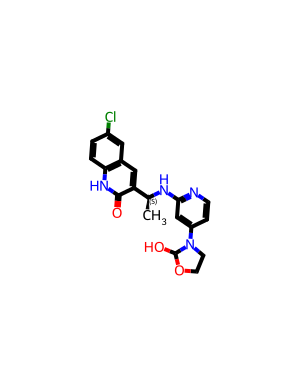 C[C@H](Nc1cc(N2CCOC2O)ccn1)c1cc2cc(Cl)ccc2[nH]c1=O